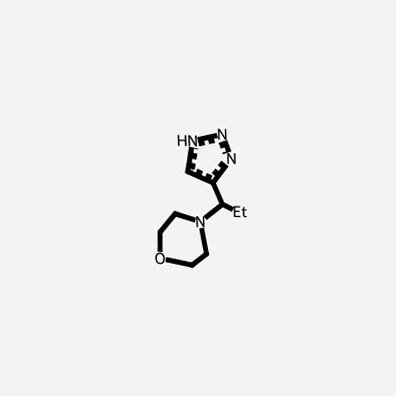 CC[C](c1c[nH]nn1)N1CCOCC1